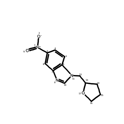 O=[N+]([O-])c1ccc2c(c1)ncn2CC1CCCO1